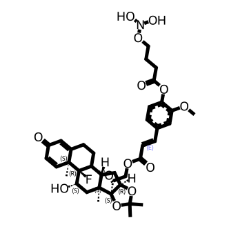 COc1cc(/C=C/C(=O)OCC(=O)[C@@]23OC(C)(C)O[C@@H]2C[C@H]2C4CCC5=CC(=O)C=C[C@]5(C)[C@@]4(F)[C@@H](O)C[C@@]23C)ccc1OC(=O)CCCON(O)O